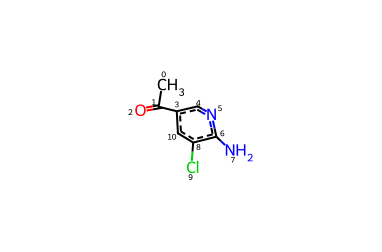 CC(=O)c1cnc(N)c(Cl)c1